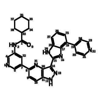 O=C(Nc1cncc(-c2ccc3[nH]nc(-c4nc5c(-c6ccncc6)cccc5[nH]4)c3n2)c1)C1CCCCC1